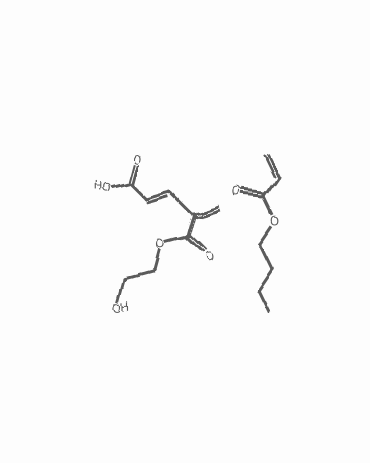 C=C(C=CC(=O)O)C(=O)OCCO.C=CC(=O)OCCCC